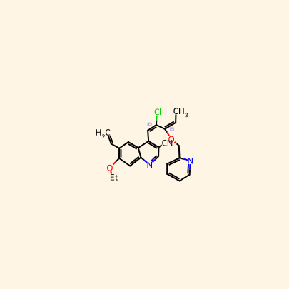 C=Cc1cc2c(/C=C(Cl)\C(=C/C)OCc3ccccn3)c(C#N)cnc2cc1OCC